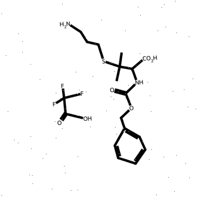 CC(C)(SCCCN)C(NC(=O)OCc1ccccc1)C(=O)O.O=C(O)C(F)(F)F